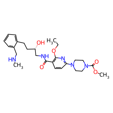 CCOc1nc(N2CCN(C(=O)OC)CC2)ccc1C(=O)NC[C@@H](O)CCc1ccccc1CNC